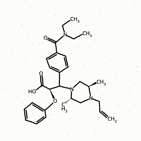 C=CCN1C[C@H](C)N(C(c2ccc(C(=O)N(CC)CC)cc2)[C@@H](Oc2ccccc2)C(=O)O)C[C@H]1C